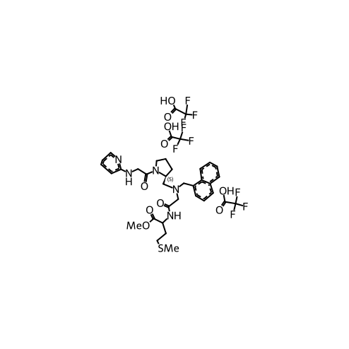 COC(=O)C(CCSC)NC(=O)CN(Cc1cccc2ccccc12)C[C@@H]1CCCN1C(=O)CNc1ccccn1.O=C(O)C(F)(F)F.O=C(O)C(F)(F)F.O=C(O)C(F)(F)F